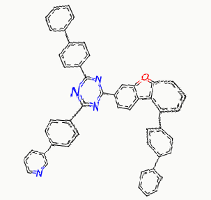 c1ccc(-c2ccc(-c3nc(-c4ccc(-c5cccnc5)cc4)nc(-c4ccc5c(c4)oc4cccc(-c6ccc(-c7ccccc7)cc6)c45)n3)cc2)cc1